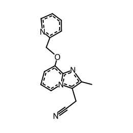 Cc1nc2c(OCc3ccccn3)cccn2c1CC#N